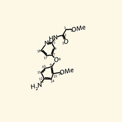 COCC(=O)Nc1cc(Oc2ccc(N)cc2OC)ccn1